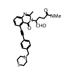 CNC(=O)CCC(C=O)n1c(C)nc2cccc(C#Cc3ccc(CN4CCSCC4)cc3)c2c1=O